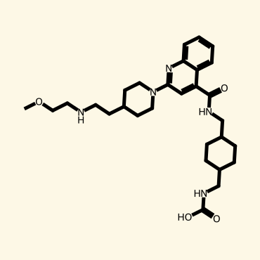 COCCNCCC1CCN(c2cc(C(=O)NCC3CCC(CNC(=O)O)CC3)c3ccccc3n2)CC1